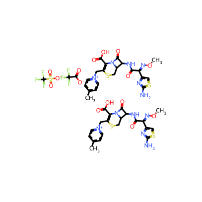 CON=C(C(=O)NC1C(=O)N2C(C(=O)O)=C(C[n+]3ccc(C)cc3)SCC12)c1csc(N)n1.CON=C(C(=O)NC1C(=O)N2C(C(=O)O)=C(C[n+]3ccc(C)cc3)SCC12)c1csc(N)n1.O=C([O-])C(F)(F)F.O=S(=O)([O-])C(F)(F)F